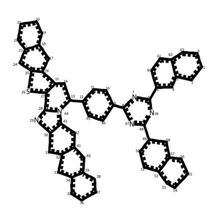 c1ccc2cc(-c3nc(-c4ccc(-c5cc6c7cc8ccccc8cc7sc6c6nc7cc8cc9ccccc9cc8cc7n56)cc4)nc(-c4ccc5ccccc5c4)n3)ccc2c1